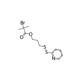 CC(C)(Br)C(=O)OCCCSSc1ccccn1